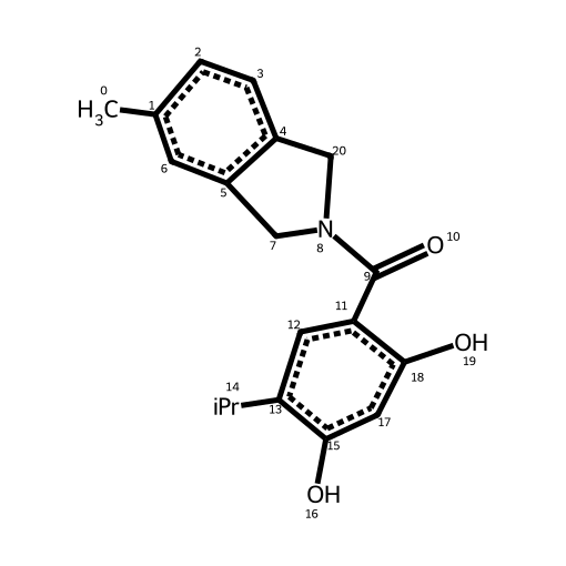 Cc1ccc2c(c1)CN(C(=O)c1cc(C(C)C)c(O)cc1O)C2